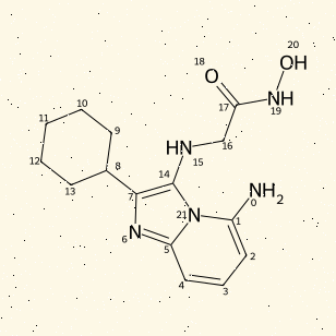 Nc1cccc2nc(C3CCCCC3)c(NCC(=O)NO)n12